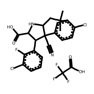 CC(C)(C)CC1NC(C(=O)O)C(c2cccc(Cl)c2F)C1(C#N)c1ccc(Cl)cc1.O=C(O)C(F)(F)F